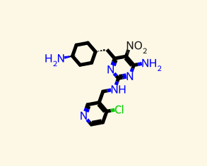 Nc1nc(NCc2cnccc2Cl)nc(C[C@H]2CC[C@H](N)CC2)c1[N+](=O)[O-]